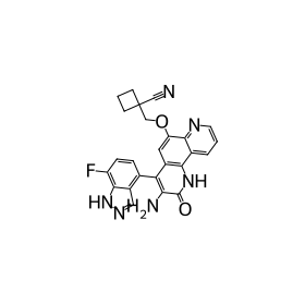 N#CC1(COc2cc3c(-c4ccc(F)c5[nH]ncc45)c(N)c(=O)[nH]c3c3cccnc23)CCC1